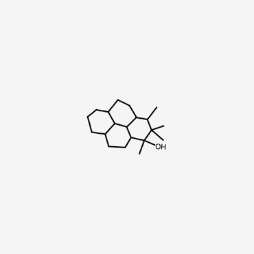 CC1C2CCC3CCCC4CCC(C2C34)C(C)(O)C1(C)C